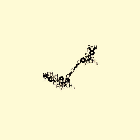 Cc1ncsc1-c1ccc([C@H](C)NC(=O)[C@@H]2CCCN2C(=O)[C@@H](C(C)C)n2cc(OCCCOCCCCCOc3ccc(N4C(=S)N(c5ccc(C#N)c(C(F)(F)F)c5)C(=O)C4(C)C)cc3)cn2)nc1